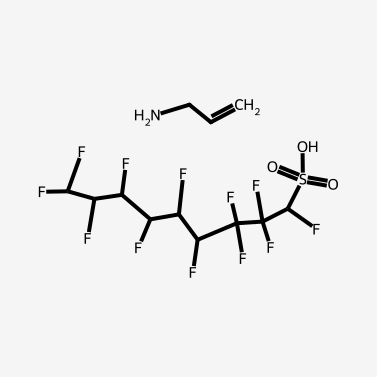 C=CCN.O=S(=O)(O)C(F)C(F)(F)C(F)(F)C(F)C(F)C(F)C(F)C(F)C(F)F